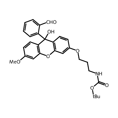 COc1ccc2c(c1)Oc1cc(OCCCNC(=O)OC(C)(C)C)ccc1C2(O)c1ccccc1C=O